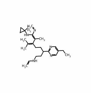 C=CNCCC(CCC(=C(C)C)/C(C)=C(/N=C)NC1(C)CC1)c1ncc(CC)cn1